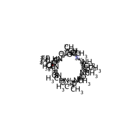 CCC(C)C1NC(=O)CN(C)C(=O)[C@@H](Cc2ccc(C(F)(F)F)cc2)N(C)C(=O)[C@H](C)NC(=O)[C@@H](CC(C)C)OC(=O)/C(C)=C/C[C@H](N)[C@H](C)[C@@H]([C@@H](C)CC)NC(=O)[C@@H](C)NC1=O